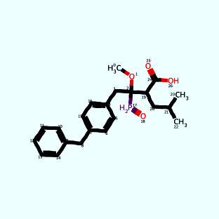 COC(Cc1ccc(Cc2ccccc2)cc1)([PH2]=O)C(CC(C)C)C(=O)O